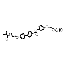 C=C(C)C(=O)OCCOc1ccc(-c2ccc(C(=O)Oc3ccc(OCCOC=O)cc3)cc2)cc1